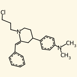 CN(C)c1ccc(C2CCN(CCCCl)C(=Cc3ccccc3)C2)cc1